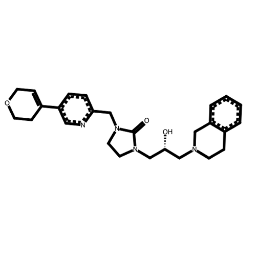 O=C1N(Cc2ccc(C3=CCOCC3)cn2)CCN1C[C@H](O)CN1CCc2ccccc2C1